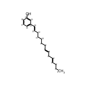 CCCC=CCC=CCCCCCC=Cc1cccc(O)c1